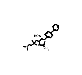 CN(C)CCC(C)(C)CC(NC(N)=O)[C@@H](CO)Cc1ccc(-c2ccccc2)cc1